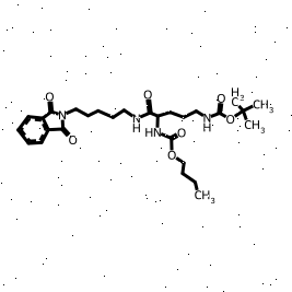 CCCCOC(=O)NC(CCCNC(=O)OC(C)(C)C)C(=O)NCCCCCN1C(=O)c2ccccc2C1=O